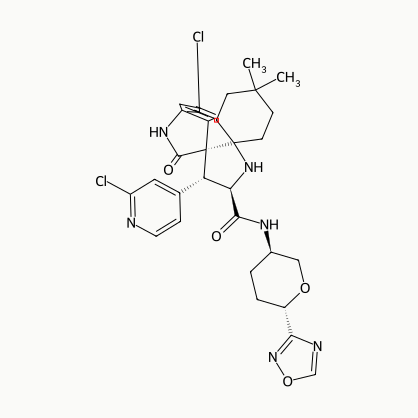 CC1(C)CCC2(CC1)N[C@@H](C(=O)N[C@@H]1CC[C@@H](c3ncon3)OC1)[C@H](c1ccnc(Cl)c1)[C@]21C(=O)Nc2cc(Cl)ccc21